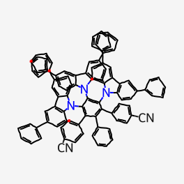 N#Cc1ccc(-c2c(-c3ccccc3)c(-c3ccc(C#N)cc3)c(-n3c4ccc(-c5ccccc5)cc4c4cc(-c5ccccc5)ccc43)c(-n3c4ccc(-c5ccccc5)cc4c4cc(-c5ccccc5)ccc43)c2-n2c3ccc(-c4ccccc4)cc3c3cc(-c4ccccc4)ccc32)cc1